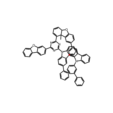 CC12C(c3nc(-c4ccc5c(c4)oc4ccccc45)nc(-n4c5ccccc5c5cc(-c6ccccc6)ccc54)n3)=CC=CC1Oc1ccc(-c3ccc4c(c3)c3ccccc3n4-c3cccc(-c4ccccc4)c3)cc12